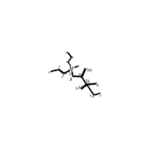 CCC[N+](C)(CCC)CC(C)C(C)(C)CC